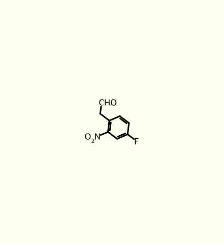 O=CCc1ccc(F)cc1[N+](=O)[O-]